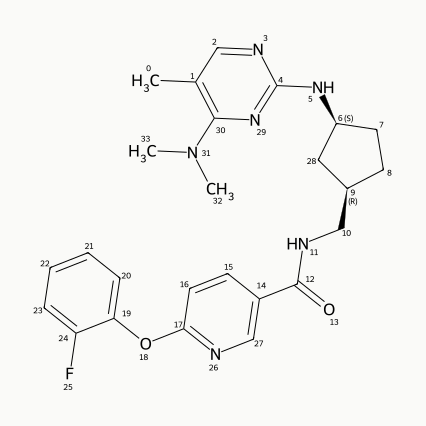 Cc1cnc(N[C@H]2CC[C@@H](CNC(=O)c3ccc(Oc4ccccc4F)nc3)C2)nc1N(C)C